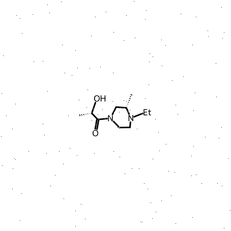 CCN1CCN(C(=O)[C@H](C)O)C[C@@H]1C